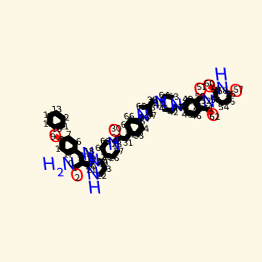 NC(=O)c1c(-c2ccc(Oc3ccccc3)cc2)nn2c1NCC[C@H]2C1CCN(C(=O)Cc2ccc(N3CC(CN4CCN(c5ccc6c(c5)C(=O)N(C5CCC(=O)NC5=O)C6=O)CC4)C3)cc2)CC1